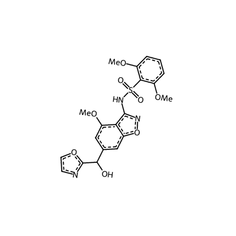 COc1cccc(OC)c1S(=O)(=O)Nc1noc2cc(C(O)c3ncco3)cc(OC)c12